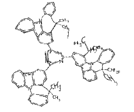 Cc1cccc2c1-n1c3c(C(C)C)cc(-c4nc(-c5cc6c7c(c5)c5ccccc5n7-c5ccccc5C6(C)C)nc(-c5cc6c7c(c5)c5ccccc5n7-c5ccccc5C6(C)C)n4)cc3c3cccc(c31)C2(C)C